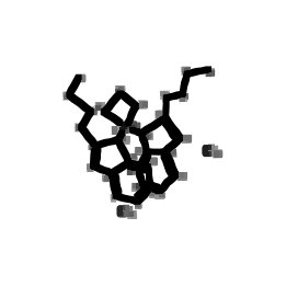 CCCCC1=Cc2ccccc2[CH]1[Zr+2]1([CH]2C(CCCC)=Cc3ccccc32)[CH2]C[CH2]1.[Cl-].[Cl-]